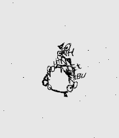 CC[C@H]1C[C@@]1(NC(=O)C1C[C@@H]2CN1C(=O)[C@H](C(C)(C)C)NC(=O)OCC1(C/C=C/COc3cccc4c3CN(C4)C(=O)O2)CC1)C(=O)NS(=O)(=O)C1CC1